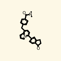 CN(C)C(=O)c1ccc(Cc2ccc(-c3ccc4c(c3)CCC4=O)n3cccc23)cc1